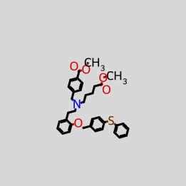 COC(=O)CCCCN(CCc1ccccc1OCc1ccc(Sc2ccccc2)cc1)Cc1ccc(C(=O)OC)cc1